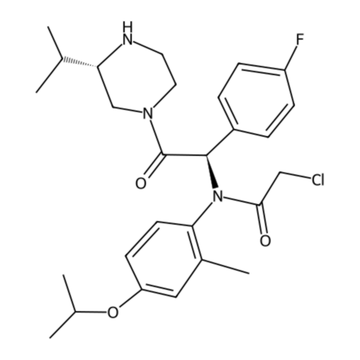 Cc1cc(OC(C)C)ccc1N(C(=O)CCl)[C@@H](C(=O)N1CCN[C@@H](C(C)C)C1)c1ccc(F)cc1